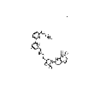 CN1CC(Oc2cccc(-c3cccc(CNCC[C@H]4CN(c5ccc6c(n5)NC(=O)CO6)C(=O)O4)n3)n2)C1